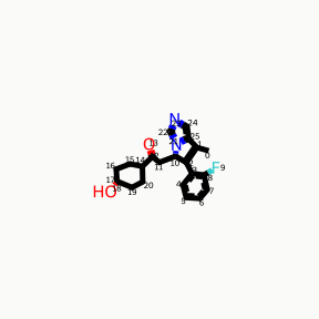 CC1=C(c2ccccc2F)C(CC(=O)C2CCC(O)CC2)n2cncc21